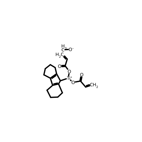 C=CC(=O)[O][Ti+]([O]C(=O)C=C)[CH]1C2=C(CCCC2)C2=C1CCCC2.C[O-]